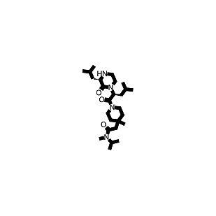 CC(C)C[C@@H]1NCCN([C@@H](CC(C)C)C(=O)N2CCC(C)(CC(=O)N(C)C(C)C)CC2)C1=O